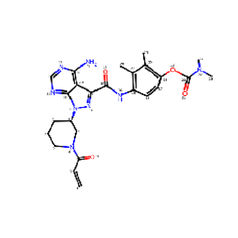 C=CC(=O)N1CCC[C@@H](n2nc(C(=O)Nc3ccc(OC(=O)N(C)C)c(C)c3C)c3c(N)ncnc32)C1